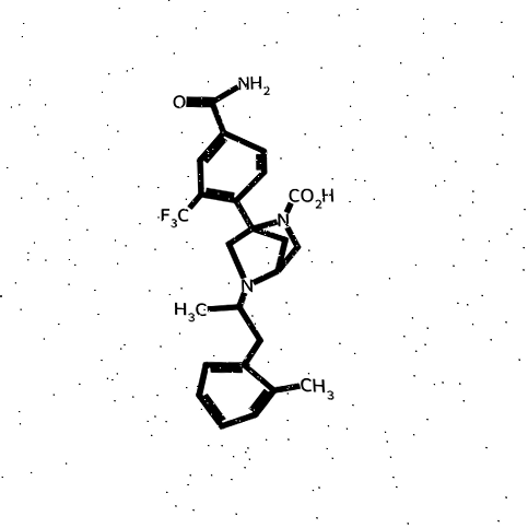 Cc1ccccc1CC(C)N1CC2(c3ccc(C(N)=O)cc3C(F)(F)F)CC1CN2C(=O)O